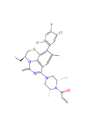 C=CC(=O)N1[C@H](C)CN(C2=NC(=C)N3c4c2cc(C)c(-c2cc(Cl)c(F)cc2F)c4SC[C@@H]3CC)C[C@@H]1C